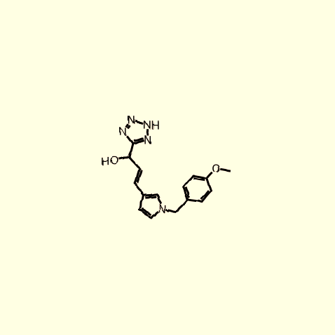 COc1ccc(Cn2ccc(C=CC(O)c3nn[nH]n3)c2)cc1